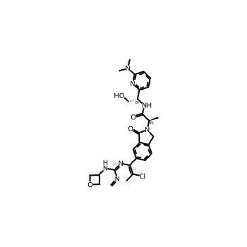 C=N/C(=N\C(=C(/C)Cl)c1ccc2c(c1)C(=O)N([C@H](C)C(=O)N[C@H](CO)c1cccc(N(C)C)n1)C2)NC1COC1